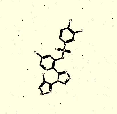 O=S(=O)(Nc1cc(Cl)cnc1-c1nncn1-c1n[nH]cc1Br)c1ccc(Cl)c(Cl)c1